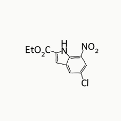 CCOC(=O)c1cc2cc(Cl)cc([N+](=O)[O-])c2[nH]1